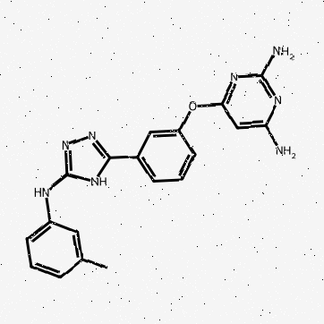 Cc1cccc(Nc2nnc(-c3cccc(Oc4cc(N)nc(N)n4)c3)[nH]2)c1